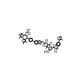 COC(=O)C[C@@H]1N=C(c2ccc(-c3ccc4nn(CC(=O)N[C@@H]5C(=O)N6C([C@H](O)N[C@@H](C)c7ccc(-c8scnc8C)cc7)C[C@@H](O)C6C5(C)C)cc4c3)cc2)c2c(sc(C)c2C)-n2c(C)nnc21